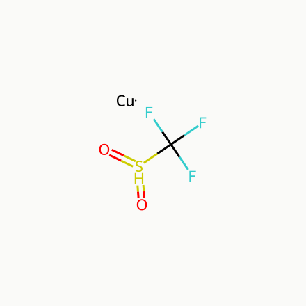 O=[SH](=O)C(F)(F)F.[Cu]